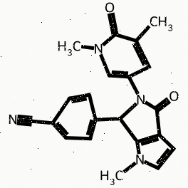 Cc1cc(N2C(=O)c3ccn(C)c3C2c2ccc(C#N)cc2)cn(C)c1=O